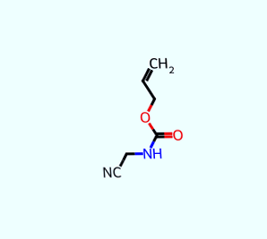 C=CCOC(=O)NCC#N